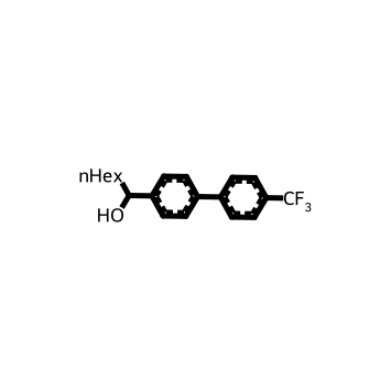 CCCCCCC(O)c1ccc(-c2ccc(C(F)(F)F)cc2)cc1